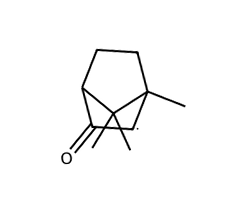 CC12[CH]C(=O)C(CC1)C2(C)C